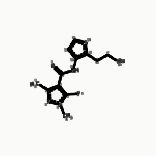 Cc1nn(C)c(F)c1C(=O)Nc1ccsc1CCC(C)(C)C